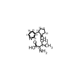 CC(C)C(N)C(=O)O.CN1CCCC1c1cccnc1